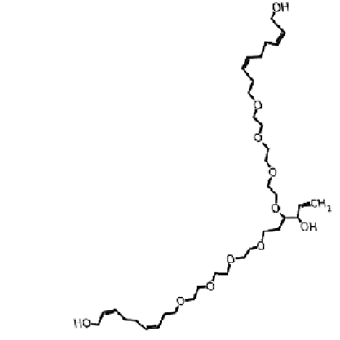 C=CC(O)C(CCOCCOCCOCCOCC/C=C\CC/C=C\CO)OCCOCCOCCOCC/C=C\CC/C=C\CO